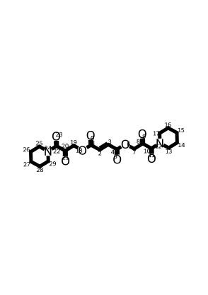 O=C(/C=C/C(=O)OCC(=O)C(=O)N1CCCCC1)OCC(=O)C(=O)N1CCCCC1